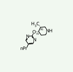 CCCc1cnc(O[C@H]2CCNC[C@H]2C)nc1